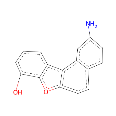 Nc1ccc2ccc3oc4c(O)cccc4c3c2c1